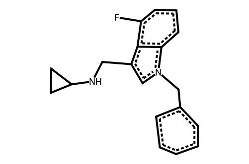 Fc1cccc2c1c(CNC1CC1)cn2Cc1ccccc1